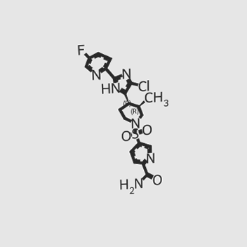 C[C@H]1CN(S(=O)(=O)c2ccc(C(N)=O)nc2)CC[C@H]1c1[nH]c(-c2ccc(F)cn2)nc1Cl